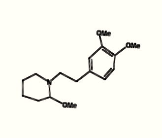 COc1ccc(CCN2CCCCC2OC)cc1OC